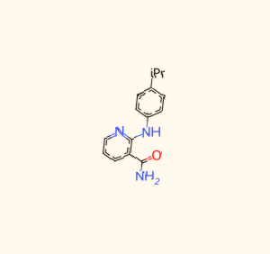 CC(C)c1ccc(Nc2ncccc2C(N)=O)cc1